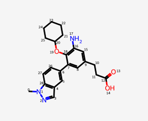 Cn1ncc2cc(-c3cc(CCC(=O)O)cc(N)c3OC3CCCCC3)ccc21